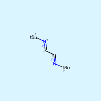 CC(C)(C)/N=C/C=N/C(C)(C)C